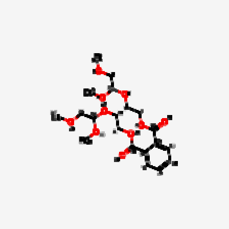 CCOCC(OCC)OCCOC(=O)c1ccccc1C(=O)OCCOC(COCC)OCC